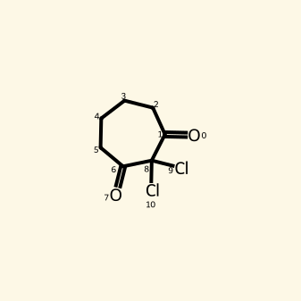 O=C1CCCCC(=O)C1(Cl)Cl